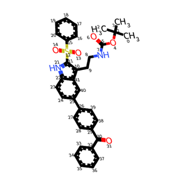 CC(C)(C)OC(=O)NCCc1c(S(=O)(=O)c2ccccc2)[nH]c2ccc(-c3ccc(C(=O)c4ccccc4)cc3)cc12